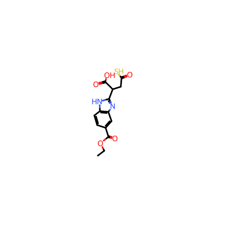 CCOC(=O)c1ccc2[nH]c(C(CC(=O)S)C(=O)O)nc2c1